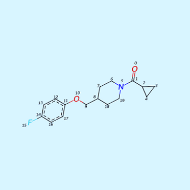 O=C(C1CC1)N1CCC(COc2ccc(F)cc2)CC1